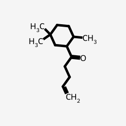 C=CCCC(=O)C1CC(C)(C)CCC1C